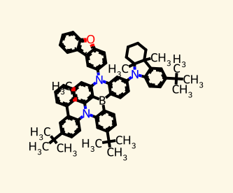 Cc1cc2c3c(c1)N(c1ccc(C(C)(C)C)cc1-c1ccccc1)c1cc(C(C)(C)C)ccc1B3c1ccc(N3c4ccc(C(C)(C)C)cc4C4(C)CCCCC34C)cc1N2c1ccc2oc3ccccc3c2c1